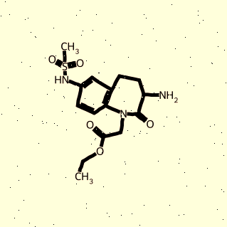 CCOC(=O)CN1C(=O)C(N)CCc2cc(NS(C)(=O)=O)ccc21